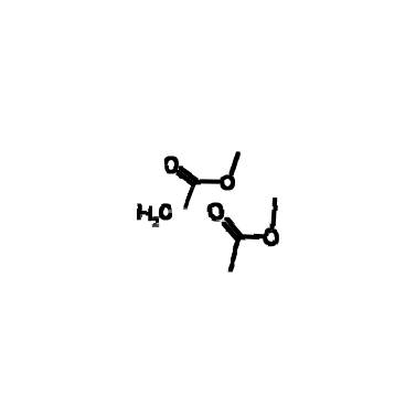 COC(C)=O.COC(C)=O.O